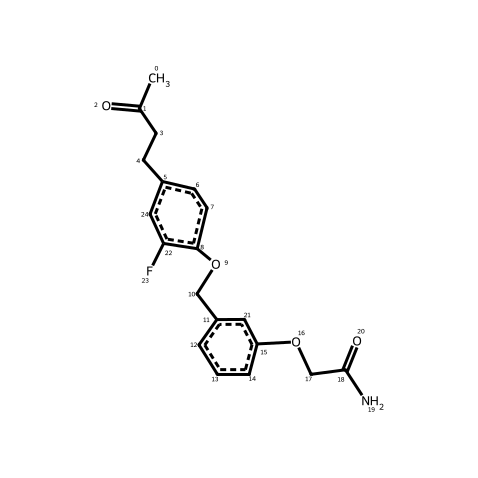 CC(=O)CCc1ccc(OCc2cccc(OCC(N)=O)c2)c(F)c1